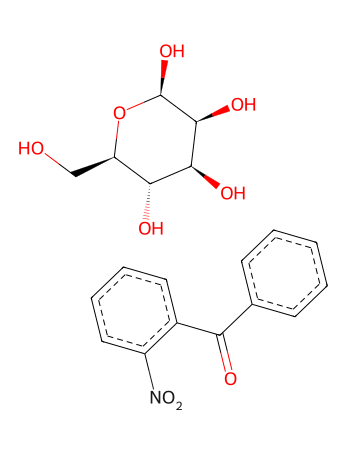 O=C(c1ccccc1)c1ccccc1[N+](=O)[O-].OC[C@H]1O[C@@H](O)[C@@H](O)[C@@H](O)[C@@H]1O